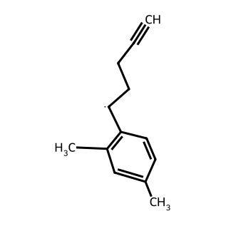 C#CCC[CH]c1ccc(C)cc1C